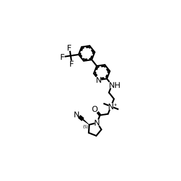 C[N+](C)(CCNc1ccc(-c2cccc(C(F)(F)F)c2)cn1)CC(=O)N1CCC[C@H]1C#N